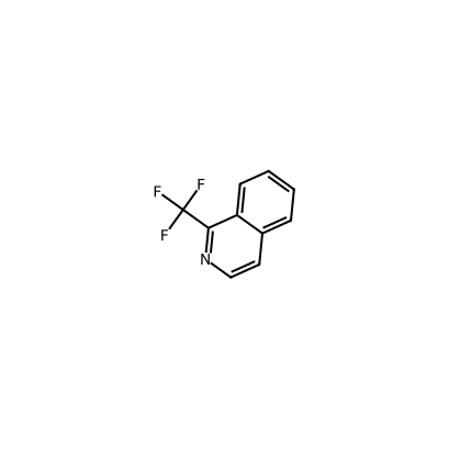 FC(F)(F)c1nccc2ccccc12